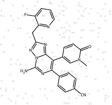 Cn1cc(-c2c(-c3ccc(C#N)cc3)nc(N)n3nc(Cc4ncccc4F)nc23)ccc1=O